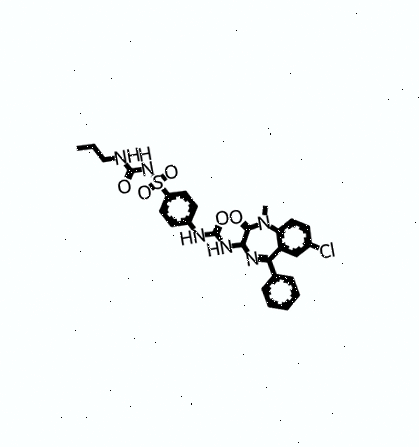 CCCNC(=O)NS(=O)(=O)c1ccc(NC(=O)NC2N=C(c3ccccc3)c3cc(Cl)ccc3N(C)C2=O)cc1